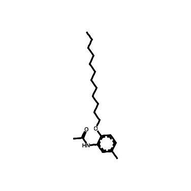 CCCCCCCCCCCCOc1ccc(C)cc1NC(C)=O